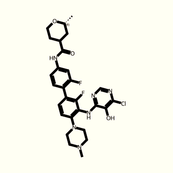 C[C@@H]1CC(C(=O)Nc2ccc(-c3ccc(N4CCN(C)CC4)c(Nc4ncnc(Cl)c4O)c3F)c(F)c2)CCO1